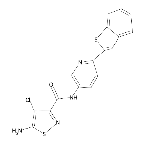 Nc1snc(C(=O)Nc2ccc(-c3cc4ccccc4s3)nc2)c1Cl